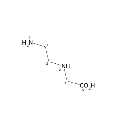 NCCNCC(=O)O